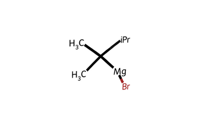 CC(C)[C](C)(C)[Mg][Br]